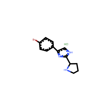 Brc1ccc(-c2c[nH]c(C3CCCN3)n2)cc1.Cl